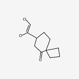 O=C1CC(C(Cl)=CCl)CCC12CCC2